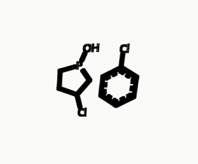 Clc1ccccc1.OP1CCC(Cl)C1